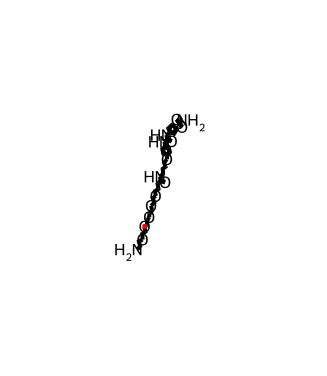 NCCOCCOCCOCCOCCOCCCC(=O)NCCCCOc1ccc(NC(=O)Nc2ccc(S(N)(=O)=O)cc2)cc1